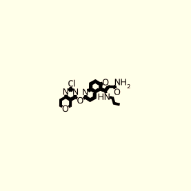 CCCNc1c(C(N)=O)oc2ccc3nc(Oc4nc(Cl)nc5c4COCC5)ccc3c12